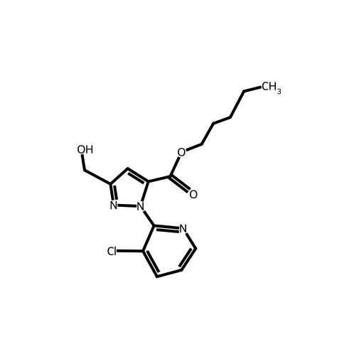 CCCCCOC(=O)c1cc(CO)nn1-c1ncccc1Cl